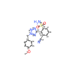 COc1ccc(Cn2nnc(-c3c(C#N)cccc3S(N)(=O)=O)n2)cc1